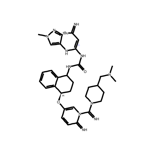 CN(C)CC1CCN(C(=N)n2cc(O[C@@H]3CCC(NC(=O)N/C(=C/C(=N)C(C)(C)C)Nc4cnn(C)c4)c4ccccc43)ccc2=N)CC1